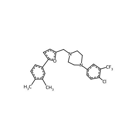 Cc1ccc(-c2ccc(CN3CCN(c4ccc(Cl)c(C(F)(F)F)c4)CC3)o2)cc1C